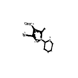 Cc1c(C=O)c(Br)nn1C1CCCCO1